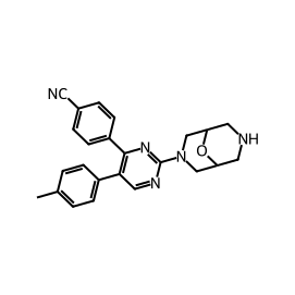 Cc1ccc(-c2cnc(N3CC4CNCC(C3)O4)nc2-c2ccc(C#N)cc2)cc1